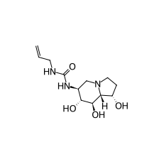 C=CCNC(=O)N[C@H]1CN2CC[C@H](O)[C@@H]2[C@@H](O)[C@@H]1O